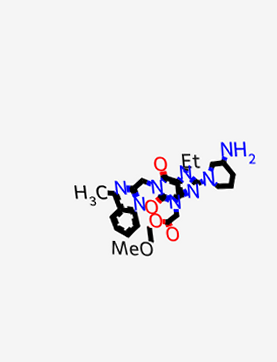 CCn1c(N2CCCC(N)C2)nc2c1c(=O)n(Cc1nc(C)c3ccccc3n1)c(=O)n2CC(=O)OCCOC